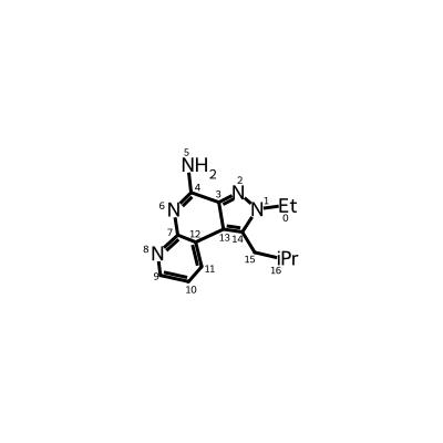 CCn1nc2c(N)nc3ncccc3c2c1CC(C)C